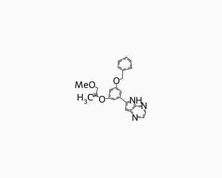 COC[C@H](C)Oc1cc(OCc2ccccc2)cc(-c2cc3nccnc3[nH]2)c1